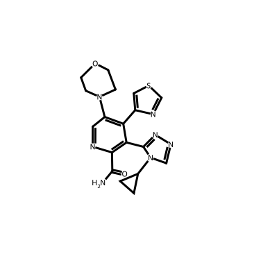 NC(=O)c1ncc(N2CCOCC2)c(-c2cscn2)c1-c1nncn1C1CC1